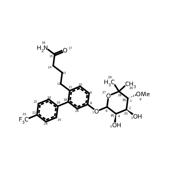 CO[C@@H]1[C@@H](O)[C@@H](O)C(Oc2ccc(CCCC(N)=O)c(-c3ccc(C(F)(F)F)cc3)c2)OC1(C)C